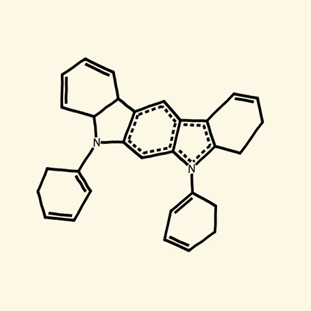 C1=CCCC(N2c3cc4c(cc3C3C=CC=CC32)c2c(n4C3=CC=CCC3)CCC=C2)=C1